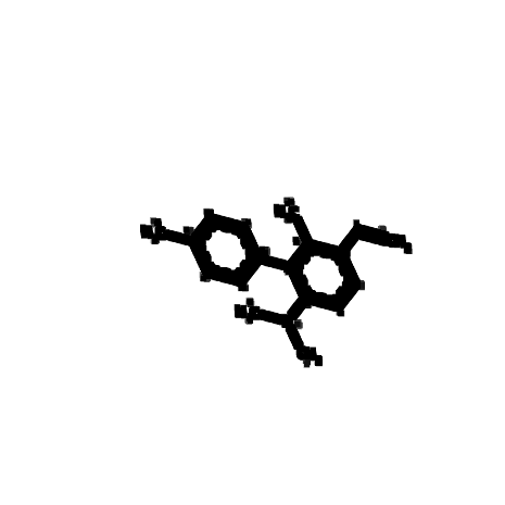 C=Cc1ccc(N(C)C)c(-c2ccc(C)cc2)c1C